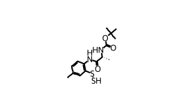 Cc1ccc(NC(=O)[C@@H](C)NC(=O)OC(C)(C)C)c(SS)c1